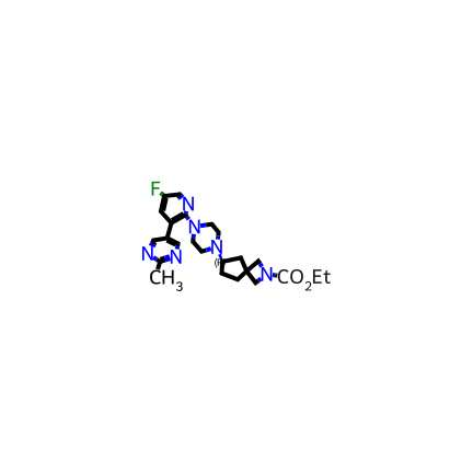 CCOC(=O)N1CC2(CC[C@@H](N3CCN(c4ncc(F)cc4-c4cnc(C)nc4)CC3)C2)C1